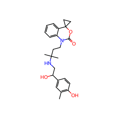 Cc1cc(C(O)CNC(C)(C)CCN2C(=O)OC3(CC3)c3ccccc32)ccc1O